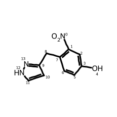 O=[N+]([O-])c1cc(O)ccc1Cc1cc[nH]n1